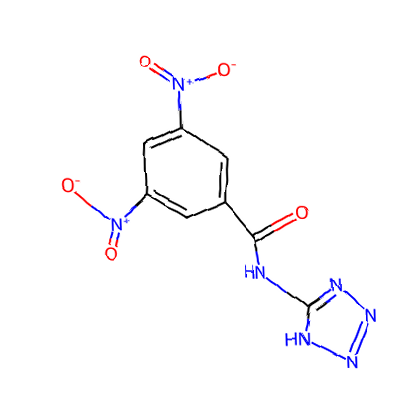 O=C(Nc1nnn[nH]1)c1cc([N+](=O)[O-])cc([N+](=O)[O-])c1